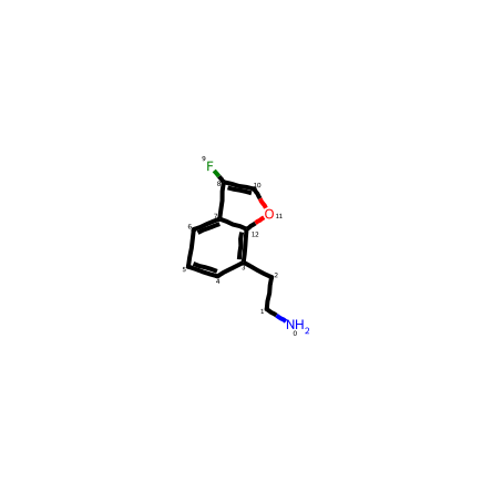 NCCc1cccc2c(F)coc12